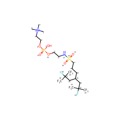 C[N+](C)(C)CCOP(=O)(O)OCCNS(=O)(=O)CCCC(CC(F)(C(F)(F)F)C(F)(F)F)CC(F)(C(F)(F)F)C(F)(F)F